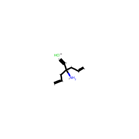 C#CC(N)(CC=C)CC=C.Cl